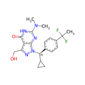 CN(C)c1nc2c(c(CO)nn2[C@@H](c2ccc(C(C)(F)F)cc2)C2CC2)c(=O)[nH]1